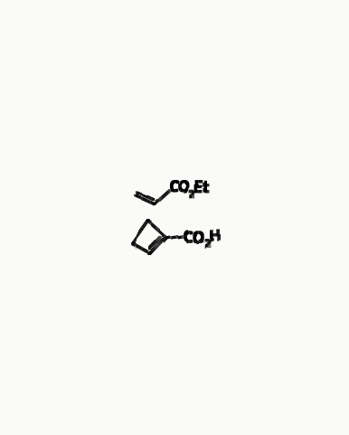 C=CC(=O)OCC.O=C(O)C1=CCC1